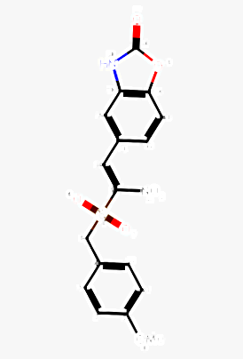 COc1ccc(CS(=O)(=O)/C(=C/c2ccc3oc(=O)[nH]c3c2)[N+](=O)[O-])cc1